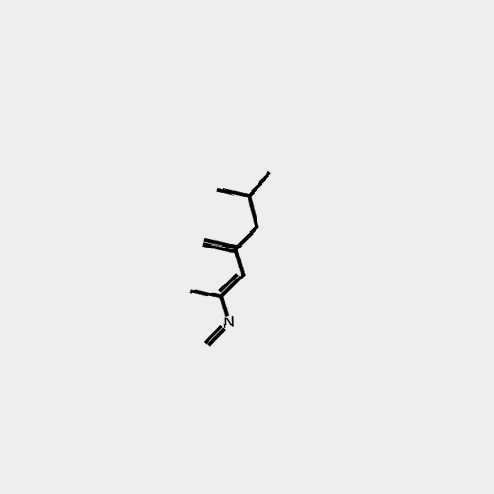 C=N/C(C)=C/C(=C)CC(C)C